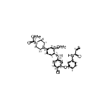 C=CC(=O)Nc1cccc(Oc2nc(Nc3ccc(N4CCN(C(=O)OC)CC4)cc3OC)ncc2Cl)c1